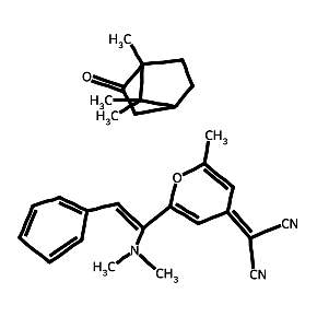 CC12CCC(CC1=O)C2(C)C.CC1=CC(=C(C#N)C#N)C=C(C(=Cc2ccccc2)N(C)C)O1